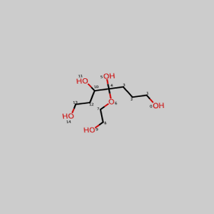 OCCCC(O)(OCCO)C(O)CCO